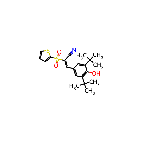 CC(C)(C)c1cc(/C=C(\C#N)S(=O)(=O)c2cccs2)cc(C(C)(C)C)c1O